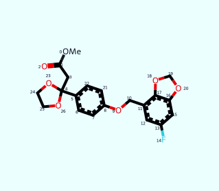 COC(=O)CC1(c2ccc(OCc3cc(F)cc4c3OCO4)cc2)OCCO1